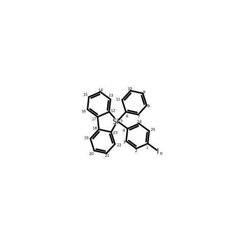 Ic1ccc([Si]2(c3ccccc3)c3ccccc3-c3ccccc32)cc1